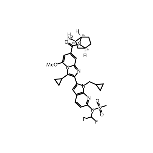 COc1cc(C(=O)N2[C@H]3CC[C@@H]2[C@H](N)C3)cc2nc(-c3cc4ccc(N(C(F)F)S(C)(=O)=O)nc4n3CC3CC3)c(C3CC3)n12